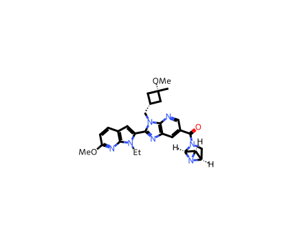 CCn1c(-c2nc3cc(C(=O)N4C[C@@H]5[C@@H]6[C@H]4N65)cnc3n2C[C@H]2C[C@@](C)(OC)C2)cc2ccc(OC)nc21